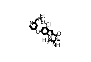 CCN(CC)Cc1cc(Oc2cc(Cl)c3cc(C(=O)N(C)C(=N)N)[nH]c3c2)ccn1